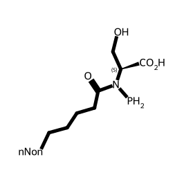 CCCCCCCCCCCCCC(=O)N(P)[C@@H](CO)C(=O)O